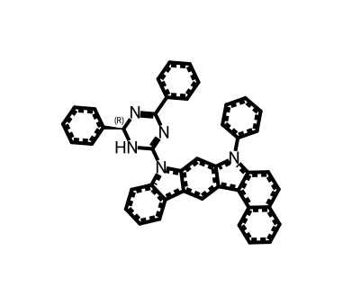 c1ccc(C2=N[C@H](c3ccccc3)NC(n3c4ccccc4c4cc5c6c7ccccc7ccc6n(-c6ccccc6)c5cc43)=N2)cc1